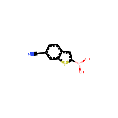 N#Cc1ccc2cc(B(O)O)sc2c1